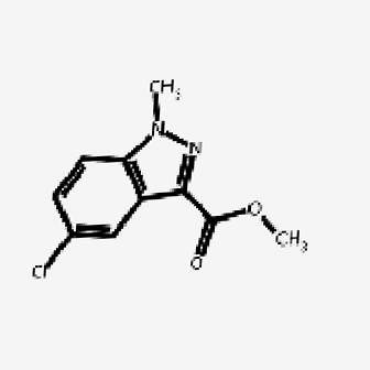 COC(=O)c1nn(C)c2ccc(Cl)cc12